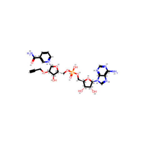 C#CCO[C@@H]1[C@H](O)[C@@H](COP(=O)(O)OC[C@H]2O[C@@H](n3cnc4c(N)ncnc43)[C@H](O)[C@@H]2O)O[C@H]1[n+]1cccc(C(N)=O)c1